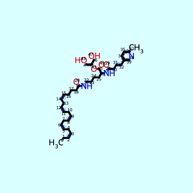 CC/C=C\C/C=C\C/C=C\C/C=C\C/C=C\CCCC(=O)NCCCCC(NC(=O)C/C=C/c1ccc(C)nc1)C(=O)OC(CO)CO